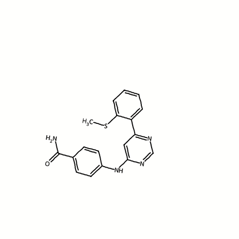 CSc1ccccc1-c1cc(Nc2ccc(C(N)=O)cc2)ncn1